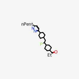 CCCCCc1ccc(C2CCC(CC(F)C3CCC(C(=O)CC)CC3)CC2)nn1